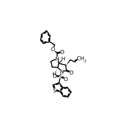 C=CC[C@H]1C(=O)N(S(=O)(=O)c2csc3ccccc23)[C@H]2CCN(C(=O)OCc3ccccc3)[C@H]12